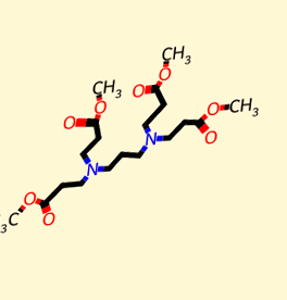 COC(=O)CCN(CCCN(CCC(=O)OC)CCC(=O)OC)CCC(=O)OC